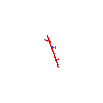 CCC#CCCCCCCCCN(CCO)CCCCCCCCCCOC(=O)CCCCCCCCCN(O)CCCCCCCCCOC(=O)CN(CCCCCCCC)CCCCCCCC